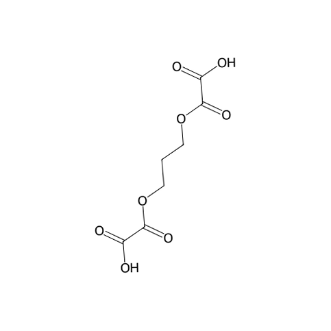 O=C(O)C(=O)OCCCOC(=O)C(=O)O